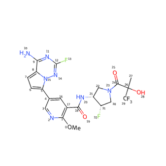 COc1ncc(-c2ccc3c(N)nc(F)nn23)cc1C(=O)N[C@@H]1CN(C(=O)C(C)(O)C(F)(F)F)C[C@@H]1F